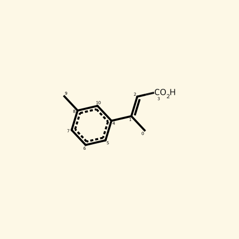 CC(=CC(=O)O)c1cccc(C)c1